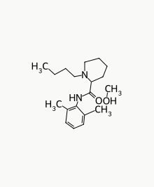 CCCCN1CCCCC1C(=O)Nc1c(C)cccc1C.CO